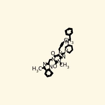 CC#CCn1c(N2CCC[C@@H](N=Cc3ccccc3)C2)nc2c1c(=O)n(Cc1nc(C)c3ccccc3n1)c(=O)n2C